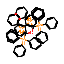 c1ccc([PH](c2ccccc2)(c2ccccc2)C(OC([PH](c2ccccc2)(c2ccccc2)c2ccccc2)[PH](c2ccccc2)(c2ccccc2)c2ccccc2)[PH](c2ccccc2)(c2ccccc2)c2ccccc2)cc1